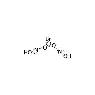 O[C@@H]1CCN(CCCOc2cc(Br)cc(OCCCN3CC[C@@H](O)C3)c2)C1